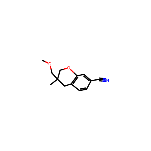 COCC1(C)COc2cc(C#N)ccc2C1